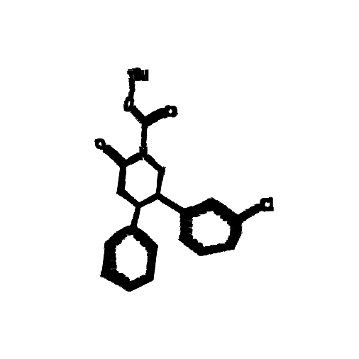 CC(C)(C)OC(=O)N1CC(c2cccc(Cl)c2)C(c2ccccc2)CC1=O